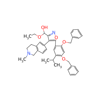 CCOC(O)c1noc(-c2cc(C(C)C)c(OCc3ccccc3)cc2OCc2ccccc2)c1-c1ccc2c(c1)CCN(C)C2